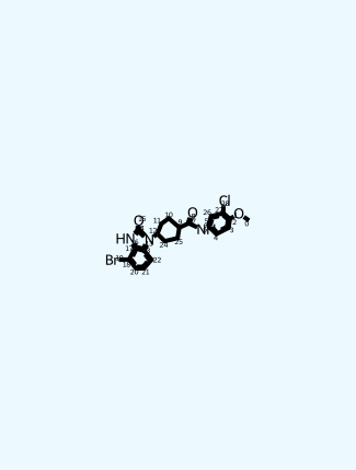 COc1ccc(NC(=O)C2CCC(n3c(=O)[nH]c4c(Br)cccc43)CC2)cc1Cl